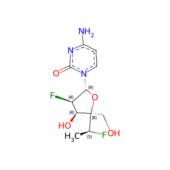 C[C@H](F)[C@]1(CO)O[C@@H](n2ccc(N)nc2=O)[C@H](F)[C@@H]1O